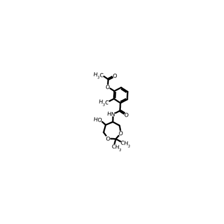 CC(=O)Oc1cccc(C(=O)NC2COC(C)(C)OCC2O)c1C